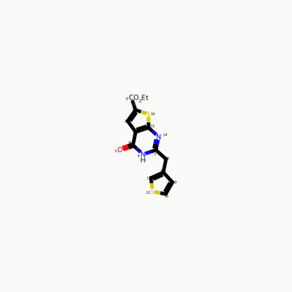 CCOC(=O)c1cc2c(=O)[nH]c(Cc3ccsc3)nc2s1